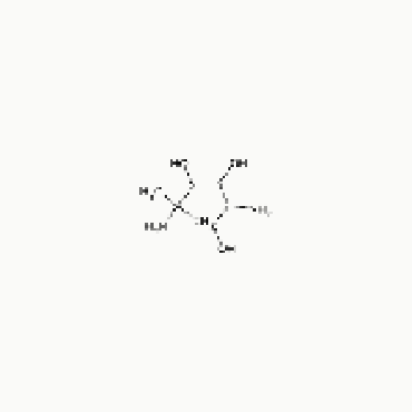 CC(C)(N)CO.NC(CO)CO